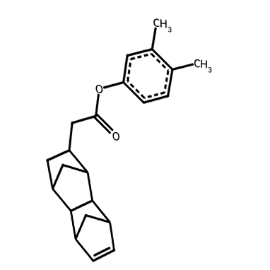 Cc1ccc(OC(=O)CC2CC3CC2C2C4C=CC(C4)C32)cc1C